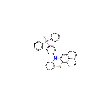 S=P(c1ccccc1)(c1ccccc1)c1ccc(N2c3ccccc3Sc3c2cc2cccc4c2c3CC=C4)cc1